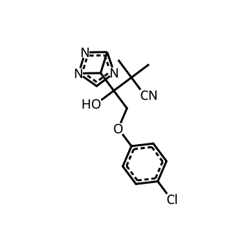 CC(C)(C#N)C(O)(COc1ccc(Cl)cc1)C1c2ncn1n2